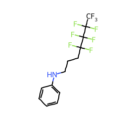 FC(F)(F)C(F)(F)C(F)(F)C(F)(F)CCCNc1ccccc1